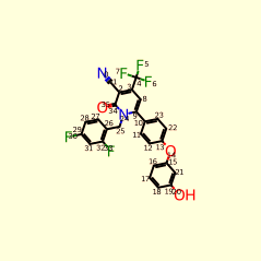 N#Cc1c(C(F)(F)F)cc(-c2ccc(Oc3cccc(O)c3)cc2)n(Cc2ccc(F)cc2F)c1=O